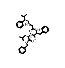 CC(C)C[C@@H](NC(=O)C(Cc1ccccc1)NC(=O)CNC[C@@H](c1ccccc1)C(C)C)C(=O)OCc1ccccc1